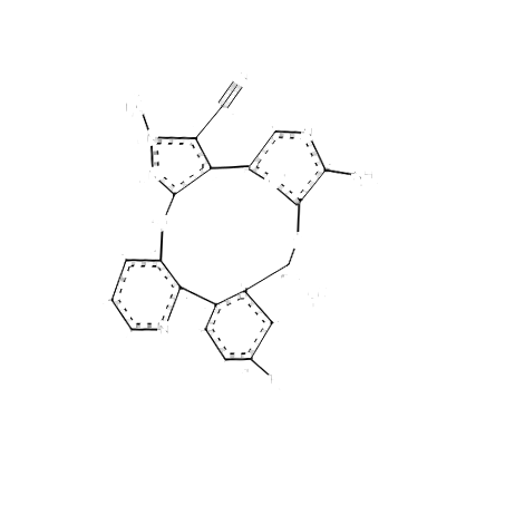 C[C@H]1Oc2cc(cnc2N)-c2c(nn(C)c2C#N)Oc2cccnc2-c2ccc(F)cc21